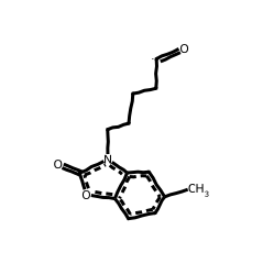 Cc1ccc2oc(=O)n(CCCC[C]=O)c2c1